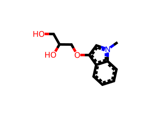 Cn1cc(OCC(O)CO)c2ccccc21